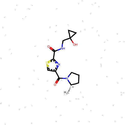 C[C@H]1CCCN1C(=O)c1csc(C(=O)NCC2(O)CC2)n1